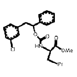 COC(=O)C(CC(C)C)NC(=O)OC(Cc1cccc(Cl)c1)c1ccccc1